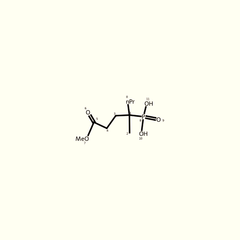 CCCC(C)(CCC(=O)OC)P(=O)(O)O